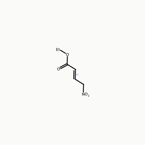 CCOC(=O)/C=C/C[N+](=O)[O-]